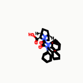 O=C(O)[C@@H]1[C@H]2CC[C@@H](CN1C(=O)N(c1ccccc1)c1ccccc1)N2C(=O)N(Cc1ccccc1)C1CC1